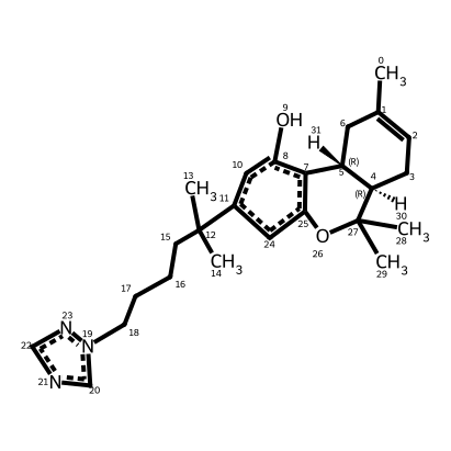 CC1=CC[C@@H]2[C@@H](C1)c1c(O)cc(C(C)(C)CCCCn3cncn3)cc1OC2(C)C